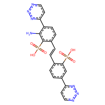 Nc1c(-c2ccnnn2)ccc(C=Cc2ccc(-c3ccnnn3)cc2S(=O)(=O)O)c1S(=O)(=O)O